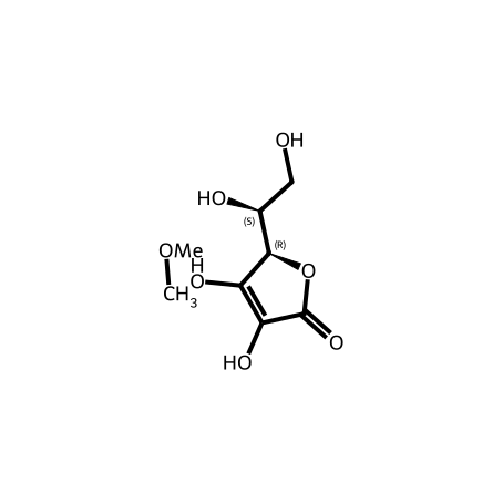 COC.O=C1O[C@H]([C@@H](O)CO)C(O)=C1O